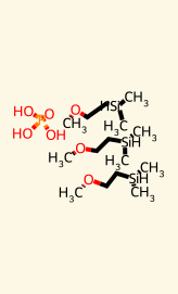 COCC[SiH](C)C.COCC[SiH](C)C.COCC[SiH](C)C.O=P(O)(O)O